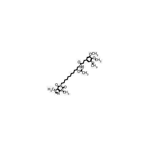 COc1cc(CCC(=O)NCC(CCCCCCCCCn2c(=O)c3c(ncn3C)n(C)c2=O)OC(C)=O)cc(OC)c1OC